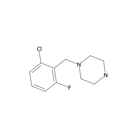 Fc1cccc(Cl)c1CN1CC[N]CC1